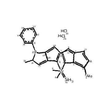 CSC1=C2C(=CC=[C]2[Zr]([CH3])([CH3])(=[SiH2])[C]2=C(C)C=C3C2=CC(C)P3c2ccccc2)C=C1.Cl.Cl